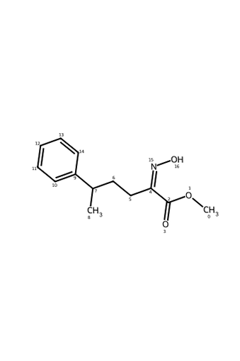 COC(=O)C(CCC(C)c1ccccc1)=NO